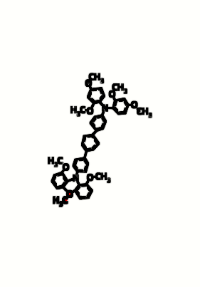 COc1ccc(N(c2ccc(-c3ccc(-c4ccc(N(c5c(OC)cccc5OC)c5c(OC)cccc5OC)cc4)cc3)cc2)c2ccc(OC)cc2OC)c(OC)c1